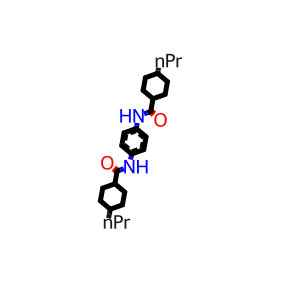 CCCC1CCC(C(=O)Nc2ccc(NC(=O)C3CCC(CCC)CC3)cc2)CC1